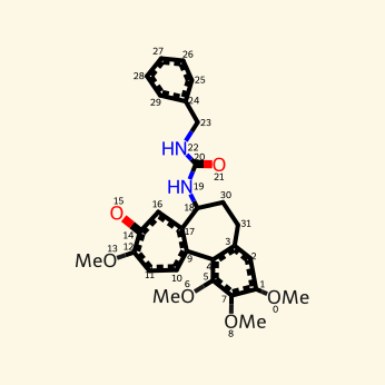 COc1cc2c(c(OC)c1OC)-c1ccc(OC)c(=O)cc1C(NC(=O)NCc1ccccc1)CC2